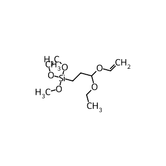 C=COC(CC[Si](OC)(OC)OC)OCC